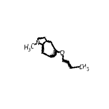 CCCCOc1ccc2c([c]cn2C)c1